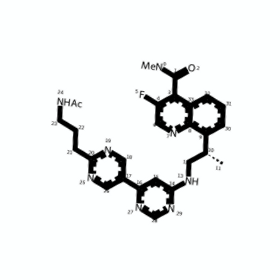 CNC(=O)c1c(F)cnc2c([C@H](C)CNc3cc(-c4cnc(CCCNC(C)=O)nc4)ncn3)cccc12